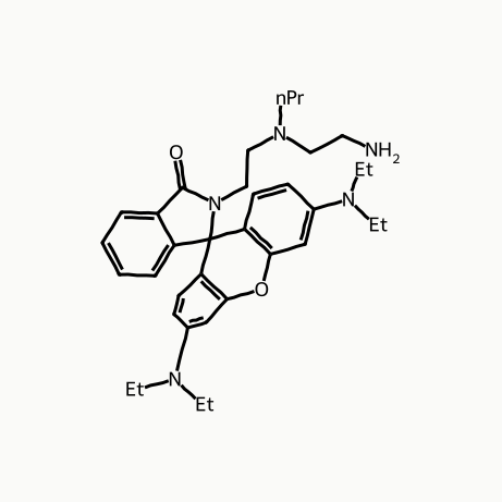 CCCN(CCN)CCN1C(=O)c2ccccc2C12c1ccc(N(CC)CC)cc1Oc1cc(N(CC)CC)ccc12